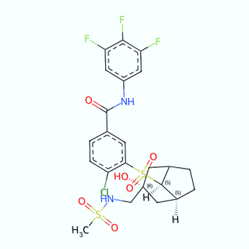 CS(=O)(=O)NC[C@@]1(O)CC2CC[C@@H](C1)[C@H]2S(=O)(=O)c1cc(C(=O)Nc2cc(F)c(F)c(F)c2)ccc1Cl